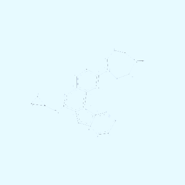 CN1CCCN(c2ccc3nc(NC4CC4)c4cc5ccccc5n4c3n2)CC1